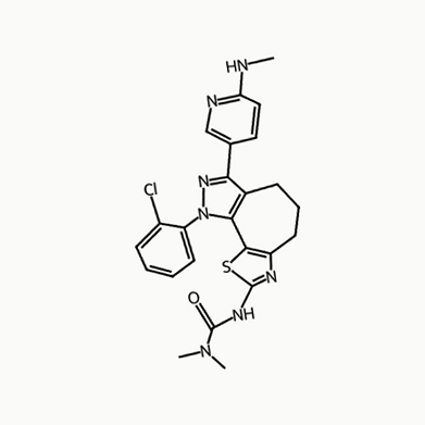 CNc1ccc(-c2nn(-c3ccccc3Cl)c3c2CCCc2nc(NC(=O)N(C)C)sc2-3)cn1